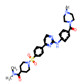 CC(=O)N1CCN(C(=O)c2ccc(Nc3nccc(-c4ccc(S(=O)(=O)N5CCC(C(=O)N(C)C)CC5)cc4)n3)cc2)CC1